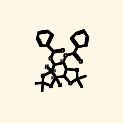 CC1(C)OC2C(O1)[C@@H]1OC(C)(C)O[C@@H]1C(OC(=O)c1ccccc1)[C@@H]2OC(=O)c1ccccc1